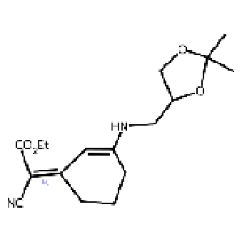 CCOC(=O)/C(C#N)=C1\C=C(NCC2COC(C)(C)O2)CCC1